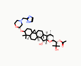 CC(=O)O[C@@H]([C@H]1C[C@@H](C)[C@H]2[C@H](O1)[C@H](O)[C@@]1(C)[C@@H]3CC[C@H]4C(C)(C)C(O[C@H]5CN(Cc6ncc[nH]6)CCO5)CCC45C[C@@]35CC[C@]21C)C(C)(C)O